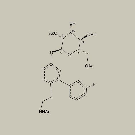 CC(=O)NCCc1ccc(O[C@@H]2O[C@@H](COC(C)=O)[C@H](OC(C)=O)[C@@H](O)[C@H]2OC(C)=O)cc1-c1cccc(F)c1